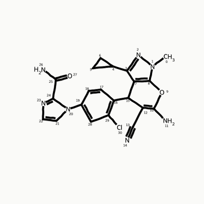 Cn1nc(C2CC2)c2c1OC(N)=C(C#N)C2c1ccc(-n2ccnc2C(N)=O)cc1Cl